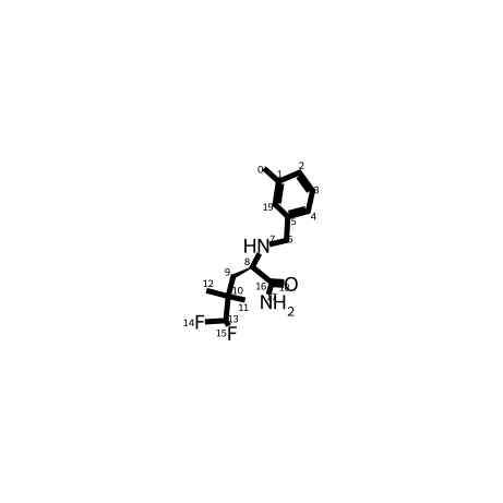 Cc1cccc(CN[C@H](CC(C)(C)C(F)F)C(N)=O)c1